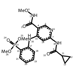 CONC(=O)c1cnc(NC(=O)C2CC2)cc1Nc1ccccc1P(=O)(OC)OC